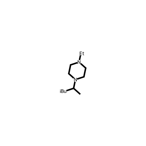 CCC(C)C(C)N1CCN(CC)CC1